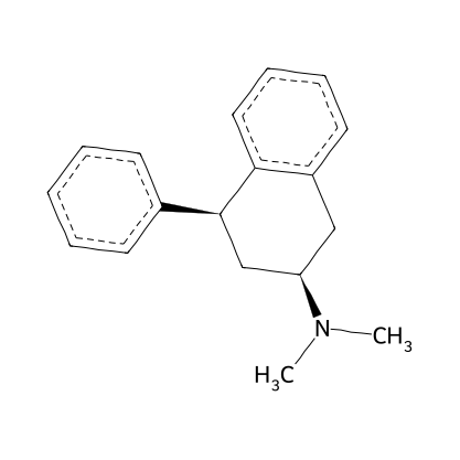 CN(C)[C@@H]1Cc2ccccc2[C@H](c2ccccc2)C1